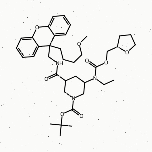 CCN(C(=O)OCC1CCCO1)C1CC(C(=O)NCC2(CCCCOC)c3ccccc3Oc3ccccc32)CN(C(=O)OC(C)(C)C)C1